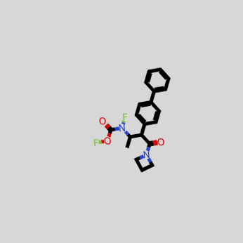 CC(C(C(=O)N1CCC1)c1ccc(-c2ccccc2)cc1)N(F)C(=O)OF